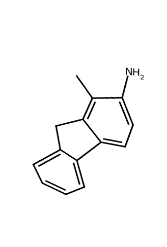 Cc1c(N)ccc2c1Cc1ccccc1-2